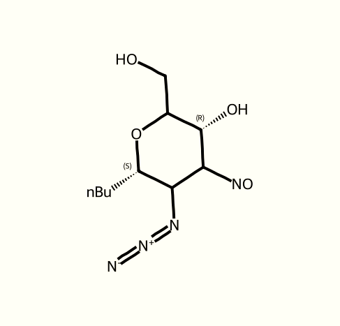 CCCC[C@@H]1OC(CO)[C@H](O)C(N=O)C1N=[N+]=[N-]